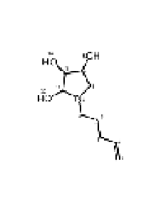 C=CCSCN1CC(O)C(O)C1O